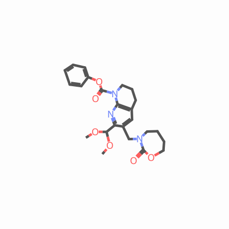 COC(OC)c1nc2c(cc1CN1CCCCOC1=O)CCCN2C(=O)Oc1ccccc1